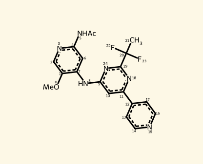 COc1cnc(NC(C)=O)cc1Nc1cc(-c2ccncc2)nc(C(C)(F)F)n1